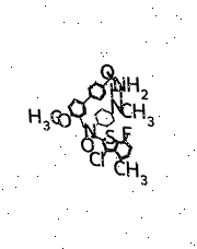 CN[C@H]1CC[C@H](N(Cc2cc(-c3ccc(C(N)=O)cc3)ccc2OC)C(=O)c2sc3c(F)ccc(C)c3c2Cl)CC1